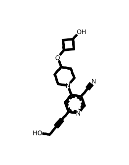 N#Cc1cnc(C#CCO)cc1N1CCC(OC2CC(O)C2)CC1